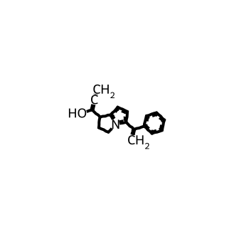 C=C=C(O)C1CCn2c(C(=C)c3ccccc3)ccc21